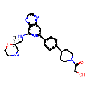 C[C@]1(CNc2nc(-c3ccc(C4CCN(C(=O)CO)CC4)cc3)cc3nccnc23)CNCCO1